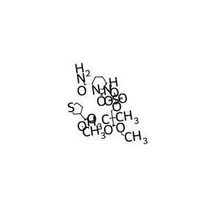 CCOC(=O)C(C)(C)COS(=O)(=O)ON1C(=O)N2C[C@H]1CC[C@H]2C(N)=O.COC(=O)C1CCSC1